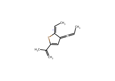 C=C(C)c1cc(=C=CC)/c(=C\C)s1